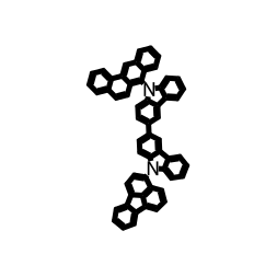 c1ccc2c(c1)-c1cccc3c(-n4c5ccccc5c5cc(-c6ccc7c(c6)c6ccccc6n7-c6c7ccccc7cc7c6ccc6ccccc67)ccc54)ccc-2c13